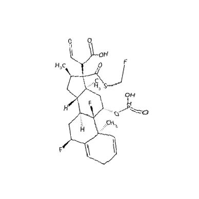 C[C@@H]1C[C@H]2[C@@H]3C[C@H](F)C4=CCC=C[C@]4(C)[C@@]3(F)[C@@H](O[PH](=O)O)C[C@]2(C)[C@]1(C(=O)SCF)C(C=O)C(=O)O